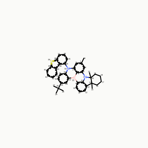 Cc1cc2c3c(c1)N1c4c(cccc4C4(C)CCCCC14C)B3c1cc(C(C)(C)C)ccc1N2c1cccc2sc3ccccc3c12